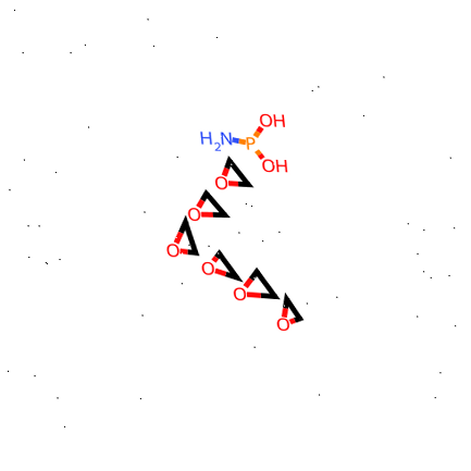 C1CO1.C1CO1.C1CO1.C1CO1.C1CO1.C1CO1.NP(O)O